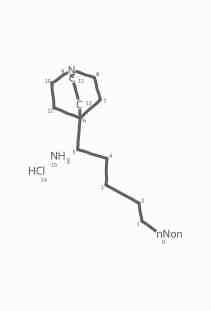 CCCCCCCCCCCCCCC12CCN(CC1)CC2.Cl.N